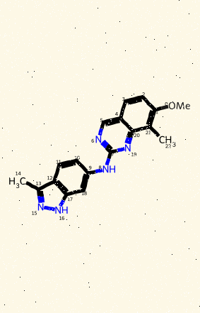 COc1ccc2cnc(Nc3ccc4c(C)n[nH]c4c3)nc2c1C